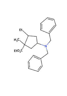 CCOC(=O)C1(C)CC(N(Cc2ccccc2)Cc2ccccc2)CC1CC